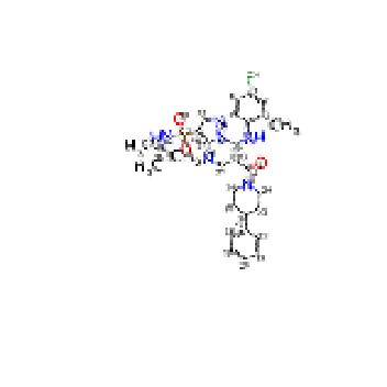 Cc1cc(F)ccc1Nc1c(C(=O)N2CCC(c3ccccc3)CC2)cnc2c(S(=O)(=O)NC(C)(C)C)cnn12